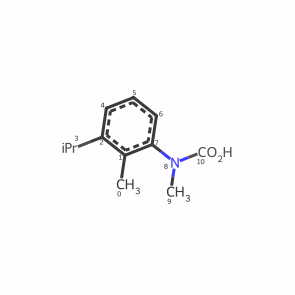 Cc1c(C(C)C)cccc1N(C)C(=O)O